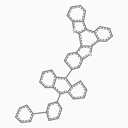 c1ccc(-c2cccc(-c3c4ccccc4c(-c4ccc5c(c4)sc4c6ccccc6c6c7ccccc7sc6c54)c4ccccc34)c2)cc1